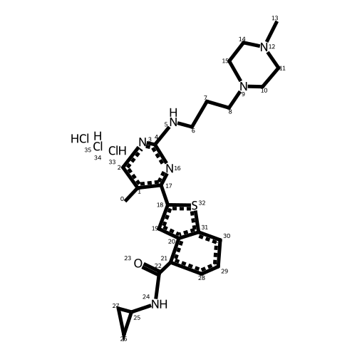 Cc1cnc(NCCCN2CCN(C)CC2)nc1-c1cc2c(C(=O)NC3CC3)cccc2s1.Cl.Cl.Cl